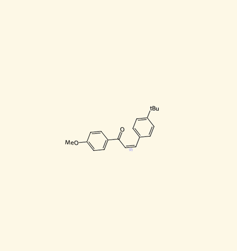 COc1ccc(C(=O)/C=C\c2ccc(C(C)(C)C)cc2)cc1